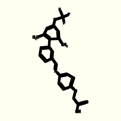 Cc1cc(OC(F)(F)F)cc(C)c1-c1cccc(C=Nc2ccc(OCC(=O)O)cc2)c1